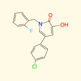 O=c1c(O)cc(-c2ccc(Cl)cc2)cn1Cc1ccccc1F